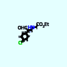 CCOC(=O)CN/C=C(\C=O)c1ccc(Cl)cc1